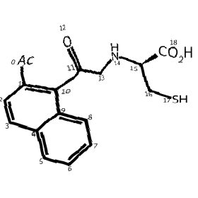 CC(=O)c1ccc2ccccc2c1C(=O)CN[C@H](CS)C(=O)O